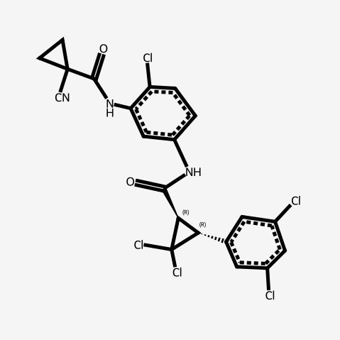 N#CC1(C(=O)Nc2cc(NC(=O)[C@H]3[C@H](c4cc(Cl)cc(Cl)c4)C3(Cl)Cl)ccc2Cl)CC1